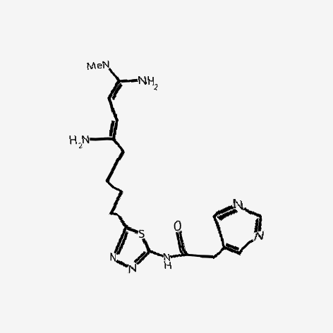 CN/C(N)=C/C=C(\N)CCCCc1nnc(NC(=O)Cc2cncnc2)s1